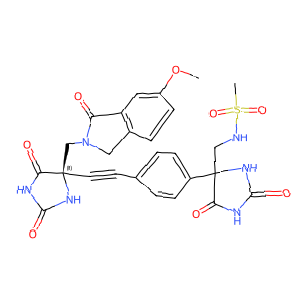 COc1ccc2c(c1)C(=O)N(C[C@@]1(C#Cc3ccc(C4(CNS(C)(=O)=O)NC(=O)NC4=O)cc3)NC(=O)NC1=O)C2